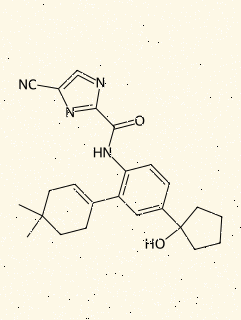 CC1(C)CC=C(c2cc(C3(O)CCCC3)ccc2NC(=O)C2=NC(C#N)=C=N2)CC1